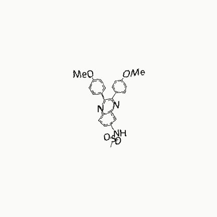 COc1ccc(-c2nc3ccc(NS(C)(=O)=O)cc3nc2-c2ccc(OC)cc2)cc1